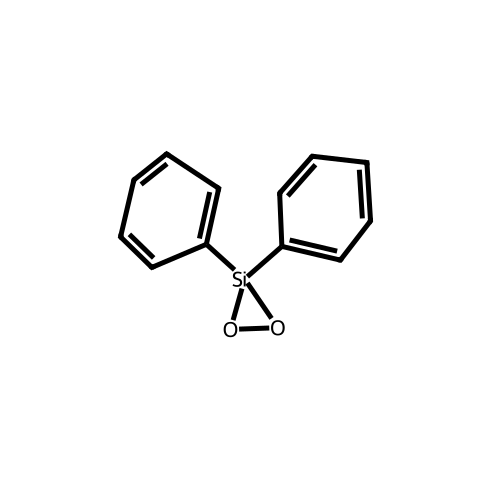 c1ccc([Si]2(c3ccccc3)OO2)cc1